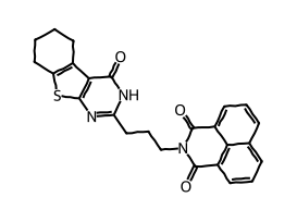 O=C1c2cccc3cccc(c23)C(=O)N1CCCc1nc2sc3c(c2c(=O)[nH]1)CCCC3